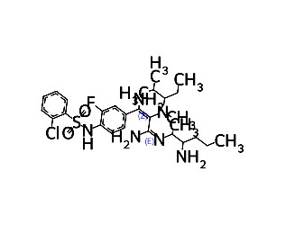 CCCC(N)C(C)/N=C(N)\C(=C(\N)c1ccc(NS(=O)(=O)c2ccccc2Cl)c(F)c1)N(C)C(CC)C(C)C